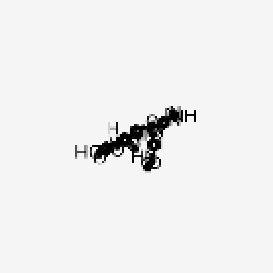 CCOc1cc(C(=O)NC2CCN(C(=O)O)CC2)ccc1-c1ccc(C[C@H](NC(=O)[C@H]2CC[C@H](CNC(=O)OC(C)(C)C)CC2)C(=O)Nc2ccc(-c3nn[nH]n3)cc2)cc1